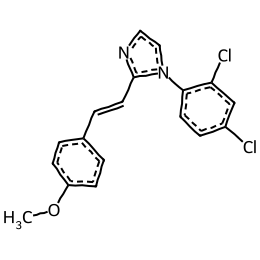 COc1ccc(C=Cc2nccn2-c2ccc(Cl)cc2Cl)cc1